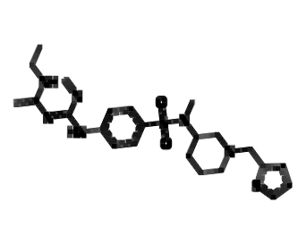 C=N/C(=N\C(=C)NCC)Nc1ccc(S(=O)(=O)N(C)C2CCCN(Cc3cccs3)C2)cc1